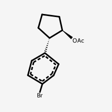 CC(=O)O[C@@H]1CCC[C@H]1c1ccc(Br)cc1